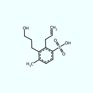 C=CCc1c(S(=O)(=O)O)ccc(C)c1CCCO